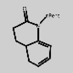 CCCCCN1C(=O)CCC2CC=CC=C21